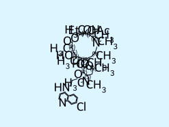 CC[C@H]1OC(=O)[C@H](C)[C@@H](O)[C@H](C)[C@@H](O[C@@H]2O[C@H](C)C[C@H](N(C)C)[C@H]2OCCCNc2ccnc3cc(Cl)ccc23)[C@](C)(O)C[C@@H](C)CN(C)[C@H](C)[C@@H](OC(C)=O)[C@]1(C)O